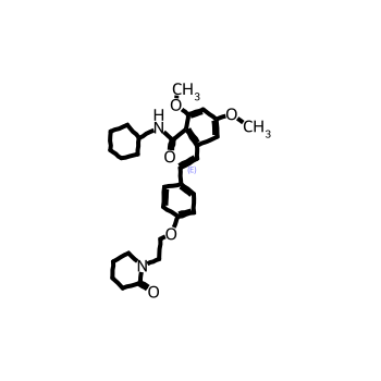 COc1cc(/C=C/c2ccc(OCCN3CCCCC3=O)cc2)c(C(=O)NC2CCCCC2)c(OC)c1